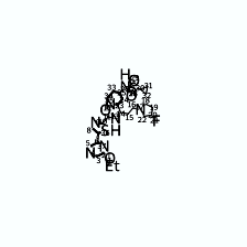 CCOc1cncc(-c2cnc(C(=O)NC(CCN3CCC(F)C3)c3cc(NS(=O)(=O)C4CC4)ccn3)s2)n1